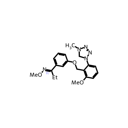 CC/C(=N\OC)c1cccc(OCc2c(OC)cccc2N2CN(C)N=N2)c1